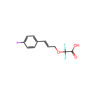 O=C(O)C(F)(F)OC/C=C/c1ccc(I)cc1